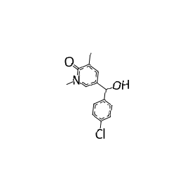 Cc1cc(C(O)c2ccc(Cl)cc2)cn(C)c1=O